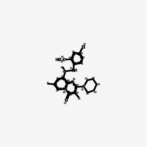 Cc1cc([C@@H](C)Nc2ccc(Cl)cc2C(=O)O)c2nc(N3CCCCC3)c(C)c(=O)n2c1